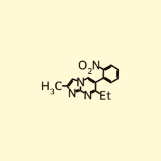 CCc1nc2nc(C)cn2cc1-c1ccccc1[N+](=O)[O-]